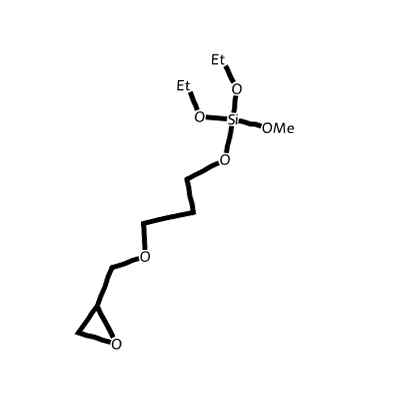 CCO[Si](OC)(OCC)OCCCOCC1CO1